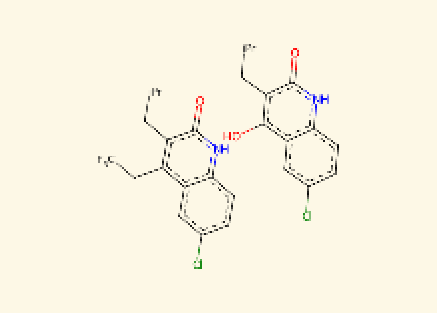 CC(C)Cc1c(CC(F)(F)F)c2cc(Cl)ccc2[nH]c1=O.CC(C)Cc1c(O)c2cc(Cl)ccc2[nH]c1=O